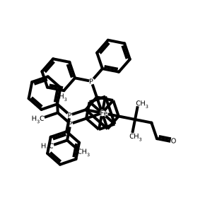 CC(C)P(C(C)C)[C]12[CH]3[CH]4[CH]5[CH]1[Fe]45321678[CH]2[C]1(C(C)(C)CC=O)[CH]6[C]7(P(c1ccccc1)c1ccccc1)[C]28P(c1ccccc1)c1ccccc1